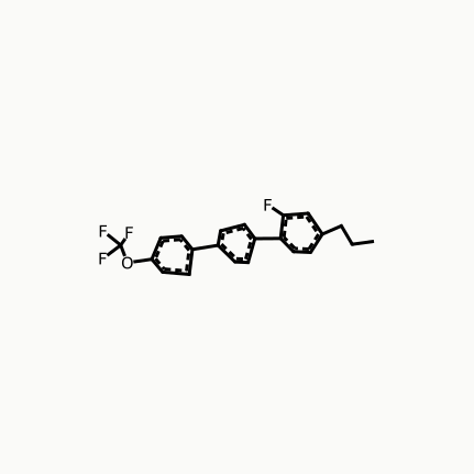 CCCc1ccc(-c2ccc(-c3ccc(OC(F)(F)F)cc3)cc2)c(F)c1